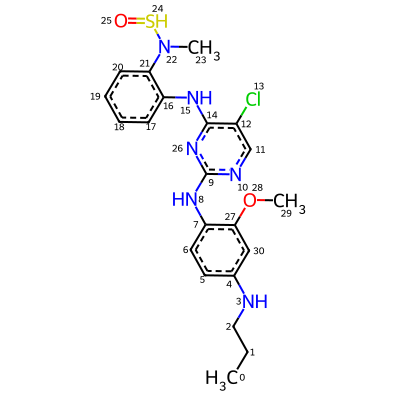 CCCNc1ccc(Nc2ncc(Cl)c(Nc3ccccc3N(C)[SH]=O)n2)c(OC)c1